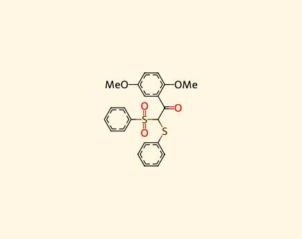 COc1ccc(OC)c(C(=O)C(Sc2ccccc2)S(=O)(=O)c2ccccc2)c1